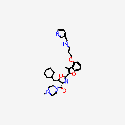 Cc1c(C2=N[C@H](C(=O)N3CCN(C)CC3)[C@@H](CC3CCCCC3)O2)oc2cccc(OCCCNCc3cccnc3)c12